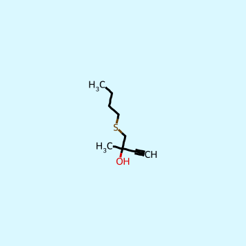 C#CC(C)(O)CSCCCC